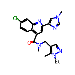 CCn1ncc(CN(C)C(=O)c2cc(-c3cn(C)cn3)nc3cc(Cl)ccc23)c1C